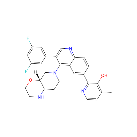 Cc1ccnc(-c2ccc3ncc(-c4cc(F)cc(F)c4)c(N4CCC5NCCO[C@@H]5C4)c3c2)c1O